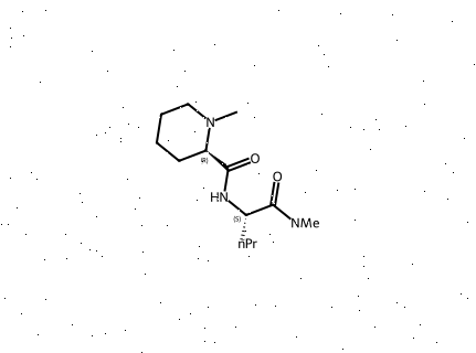 CCC[C@H](NC(=O)[C@H]1CCCCN1C)C(=O)NC